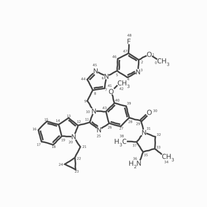 COc1ncc(-n2cc(Cn3c(-c4cc5ccccc5n4CC4CC4)nc4cc(C(=O)N5CC(C)C(N)C5C)cc(OC)c43)cn2)cc1F